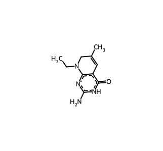 CCN1CC(C)=Cc2c1nc(N)[nH]c2=O